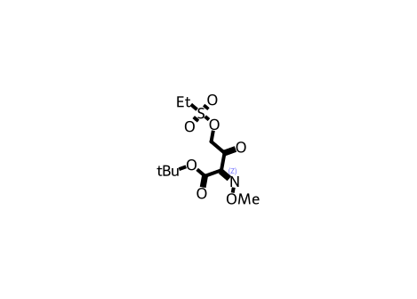 CCS(=O)(=O)OCC(=O)/C(=N/OC)C(=O)OC(C)(C)C